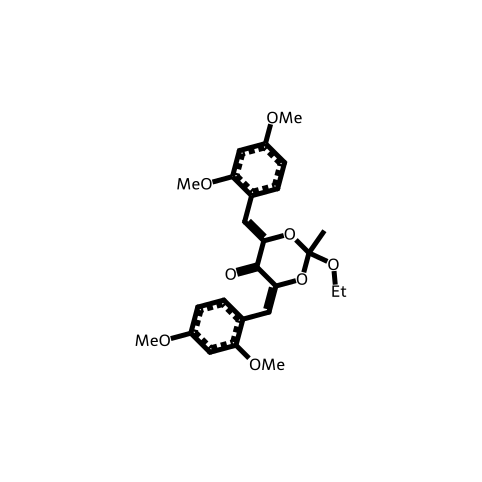 CCOC1(C)OC(=Cc2ccc(OC)cc2OC)C(=O)C(=Cc2ccc(OC)cc2OC)O1